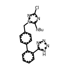 CCCCc1nc(Cl)nn1Cc1ccc(-c2ccccc2-c2nnn[nH]2)cc1